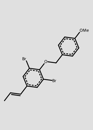 CC=Cc1cc(Br)c(OCc2ccc(OC)cc2)c(Br)c1